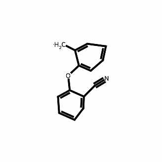 [CH2]c1ccccc1Oc1ccccc1C#N